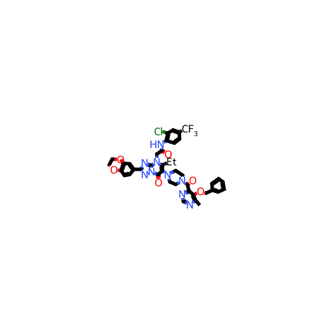 CCc1c(N2CCN(C(=O)c3ncnc(C)c3OCc3ccccc3)CC2)c(=O)n2nc(-c3ccc4c(c3)OCCO4)nc2n1CC(=O)Nc1ccc(C(F)(F)F)cc1Cl